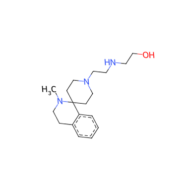 CN1CCc2ccccc2C12CCN(CCNCCO)CC2